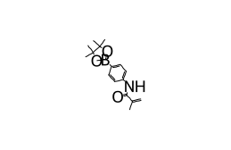 C=C(C)C(=O)Nc1ccc(B2OC(C)(C)C(C)(C)O2)cc1